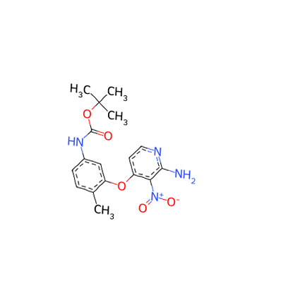 Cc1ccc(NC(=O)OC(C)(C)C)cc1Oc1ccnc(N)c1[N+](=O)[O-]